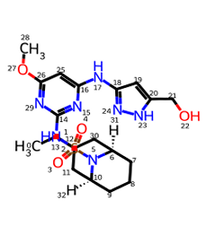 CCS(=O)(=O)N1[C@@H]2CCC[C@H]1CC(Nc1nc(Nc3cc(CO)[nH]n3)cc(OC)n1)C2